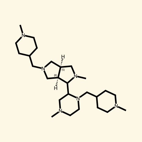 CN1CCC(CN2C[C@H]3CN(C)C(C4CN(C)CCN4CC4CCN(C)CC4)[C@H]3C2)CC1